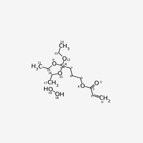 C=CC(=O)OCCC[Si](OCC)(OCC)OCC.OO